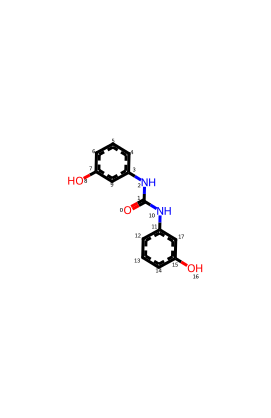 O=C(Nc1cccc(O)c1)Nc1cccc(O)c1